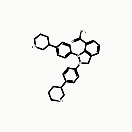 NC(=O)c1cccc2c1N(c1ccc(C3CCCNC3)cc1)N(c1ccc(C3CCCNC3)cc1)C2